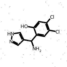 NC(c1cn[nH]c1)c1cc(Cl)c(Cl)cc1O